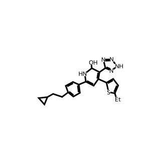 CCc1ccc(C2=C(c3nn[nH]n3)C(O)NC(c3ccc(CCC4CC4)cc3)=C2)s1